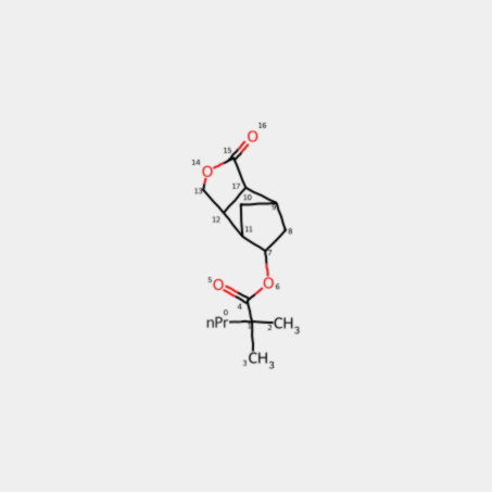 CCCC(C)(C)C(=O)OC1CC2CC1C1COC(=O)C21